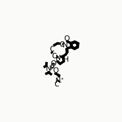 [C-]#[N+]CCOP(O[C@H]1CC[C@H]2C/C=C3/c4ccccc4C(=O)N3CCCCCCN21)N(C(C)C)C(C)C